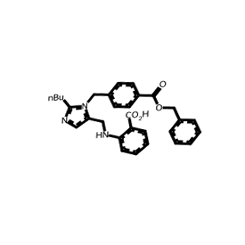 CCCCc1ncc(CNc2ccccc2C(=O)O)n1Cc1ccc(C(=O)OCc2ccccc2)cc1